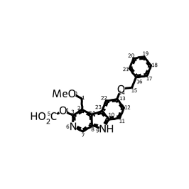 COCc1c(OC(=O)O)ncc2[nH]c3ccc(OCc4ccccc4)cc3c12